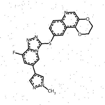 Cn1cc(-c2cc(F)c3nnc(Sc4ccc5ncc6c(c5c4)OCCO6)n3c2)cn1